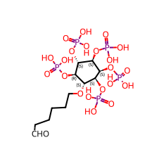 O=CCCCCCO[C@@H]1[C@@H](OP(=O)(O)O)[C@H](OP(=O)(O)O)[C@@H](OP(=O)(O)O)[C@@H](OP(=O)(O)O)[C@H]1OP(=O)(O)O